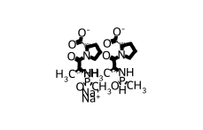 C[C@H](N[PH](C)=O)C(=O)N1CCC[C@H]1C(=O)[O-].C[C@H](N[PH](C)=O)C(=O)N1CCC[C@H]1C(=O)[O-].[Na+].[Na+]